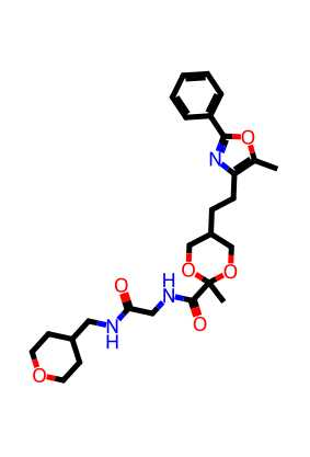 Cc1oc(-c2ccccc2)nc1CCC1COC(C)(C(=O)NCC(=O)NCC2CCOCC2)OC1